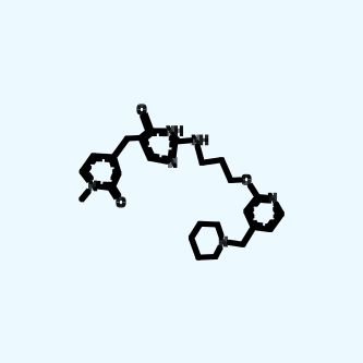 Cn1ccc(Cc2cnc(NCCCOc3cc(CN4CCCCC4)ccn3)[nH]c2=O)cc1=O